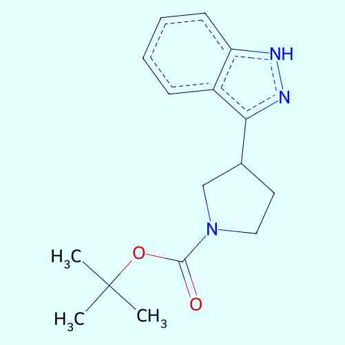 CC(C)(C)OC(=O)N1CCC(c2n[nH]c3ccccc23)C1